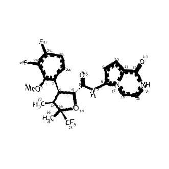 COc1c([C@H]2[C@H](C(=O)Nc3ccc4c(=O)[nH]ccn34)O[C@@](C)(C(F)(F)F)[C@H]2C)ccc(F)c1F